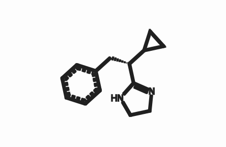 c1ccc(C[C@@H](C2=NCCN2)C2CC2)cc1